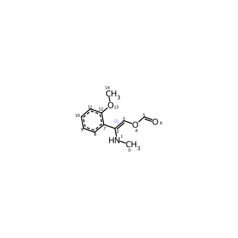 CN/C(=C\OC=O)c1ccccc1OC